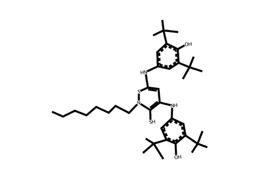 CCCCCCCCN1SC(Nc2cc(C(C)(C)C)c(O)c(C(C)(C)C)c2)=CC(Nc2cc(C(C)(C)C)c(O)c(C(C)(C)C)c2)=C1S